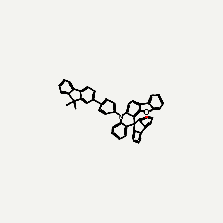 CC1(C)c2ccccc2-c2ccc(-c3ccc(N4c5ccccc5C5(c6ccccc6-c6ccccc65)c5c4ccc4c5oc5ccccc54)cc3)cc21